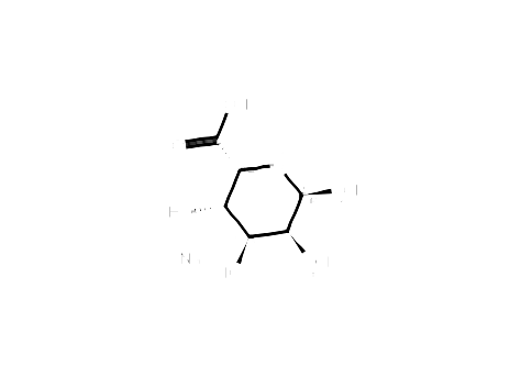 O=C(O)[C@@H]1O[C@@H](O)[C@@H](O)[C@@H](O)[C@@H]1O.[Na]